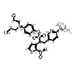 CN(C)c1ccc(CC(c2ccsc2[N+](=O)[O-])S(=O)(=O)Oc2ccc(N(CCCl)CCCl)cc2)cn1